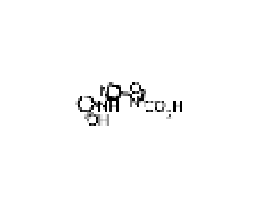 O=C(O)c1coc(-c2ccnc(N[C@@H]3CCCC[C@@H]3O)c2)n1